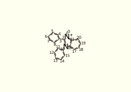 C[n+]1c(-c2ccccc2)n(-c2ccccc2)c2ccccc21